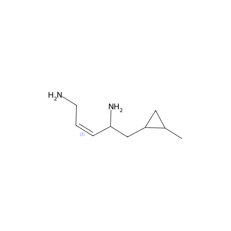 CC1CC1CC(N)/C=C\CN